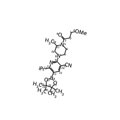 COCCC(=O)N1CCN(c2nc(C(C)C)c(B3OC(C)(C)C(C)(C)O3)cc2C#N)CC1C